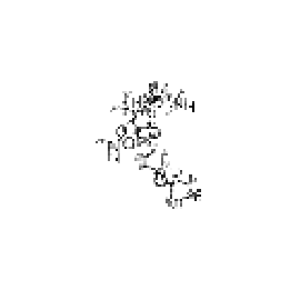 CNC(=O)Oc1c(-c2ccc(Oc3ccc(F)cc3)cc2)oc2cc(NS(=O)(=O)CC3CNC3)c(C3CC3)cc12